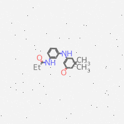 CCC(=O)Nc1cccc(NC2=CC(=O)CC(C)(C)C2)c1